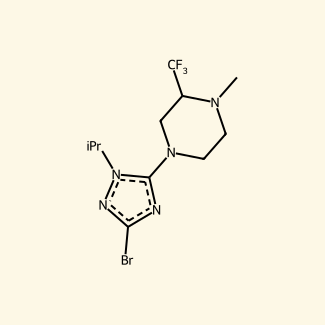 CC(C)n1nc(Br)nc1N1CCN(C)C(C(F)(F)F)C1